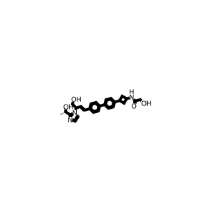 C[C@H](O)c1nccn1C(/C=C/c1ccc(-c2ccc(C3CC(NC(=O)CO)C3)cc2)cc1)CO